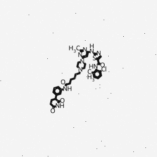 Cc1nc(Nc2ncc(C(=O)Nc3c(C)cccc3Cl)s2)cc(N2CCN(CCCCCC(=O)Nc3cccc(C4CCC(=O)NC4=O)c3)CC2)n1